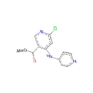 COC(=O)c1cnc(Cl)cc1Nc1ccncc1